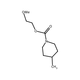 COCCOC(=O)N1CCC(C)CC1